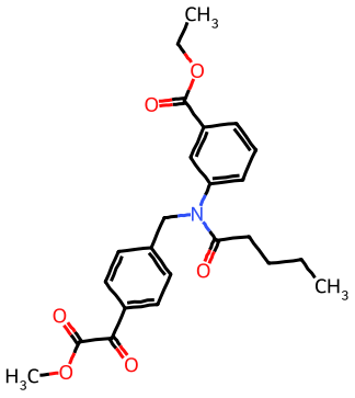 CCCCC(=O)N(Cc1ccc(C(=O)C(=O)OC)cc1)c1cccc(C(=O)OCC)c1